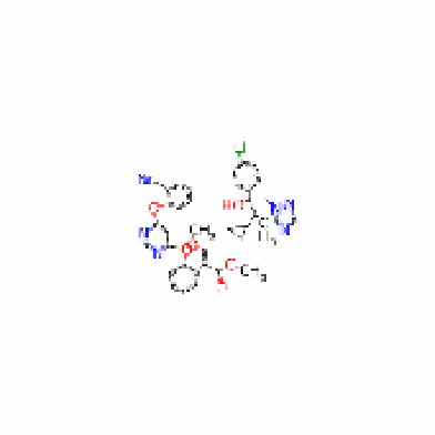 CC(C1CC1)C(O)(Cn1cncn1)c1ccc(Cl)cc1.CO/C=C(/C(=O)OC)c1ccccc1Oc1cc(Oc2ccccc2C#N)ncn1